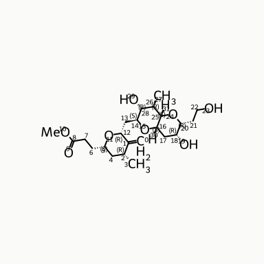 C=C1[C@H](C)C[C@H](CCC(=O)OC)O[C@@H]1C[C@@H]1O[C@H]2C[C@@H](O)[C@@H](CCO)O[C@H]2[C@H](C)[C@H]1O